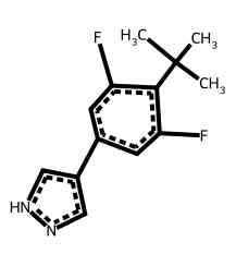 CC(C)(C)c1c(F)cc(-c2cn[nH]c2)cc1F